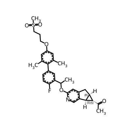 CC(=O)[C@H]1[C@@H]2Cc3cc(OC(C)c4cc(-c5c(C)cc(OCCCS(C)(=O)=O)cc5C)ccc4F)ncc3[C@@H]21